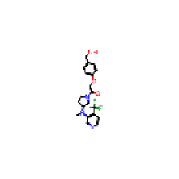 CN(c1cnccc1C(F)(F)F)C1CCN(C(=O)COc2ccc(CO)cc2)C1